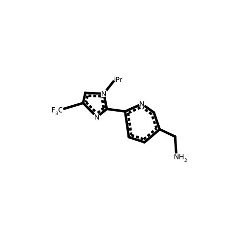 CC(C)n1cc(C(F)(F)F)nc1-c1ccc(CN)cn1